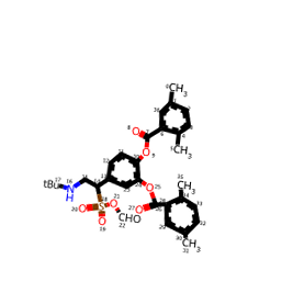 Cc1ccc(C)c(C(=O)Oc2ccc(C(CNC(C)(C)C)S(=O)(=O)OC=O)cc2OC(=O)c2cc(C)ccc2C)c1